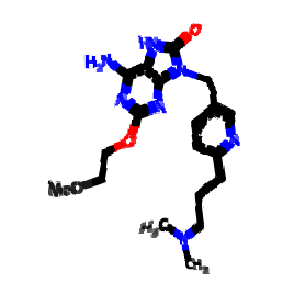 COCCOc1nc(N)c2[nH]c(=O)n(Cc3ccc(CCCN(C)C)nc3)c2n1